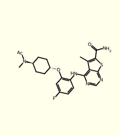 CC(=O)N(C)[C@H]1CC[C@H](Oc2cc(F)ccc2Nc2ncnc3sc(C(N)=O)c(C)c23)CC1